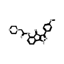 COc1ccc(-c2n[nH]c3c2C(=O)c2c(NC(=O)CN4CCSCC4)cccc2-3)cc1